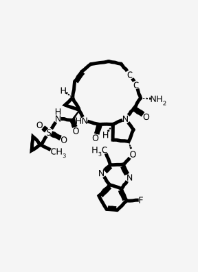 Cc1nc2cccc(F)c2nc1O[C@@H]1C[C@H]2C(=O)N[C@]3(C(=O)NS(=O)(=O)C4(C)CC4)C[C@H]3/C=C\CCCCC[C@H](N)C(=O)N2C1